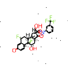 C[C@]12C[C@H](O)[C@@]3(F)[C@@H](C[C@H](F)C4=CC(=O)C=C[C@@]43C)[C@]1(C)C[C@H]1CN(c3cccc(C(F)(F)F)c3)O[C@]12C(=O)CO